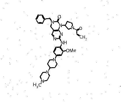 C=CC(=O)N1CCC(N2C(=O)N(Cc3ccccc3)Cc3cnc(Nc4ccc(N5CCC(N6CCN(C)CC6)CC5)cc4OC)nc32)C1